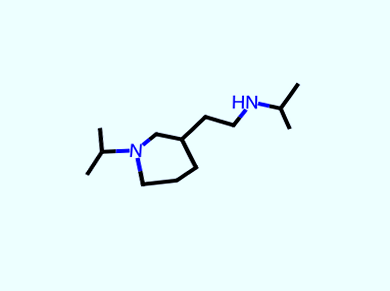 CC(C)NCCC1CCCN(C(C)C)C1